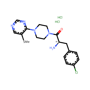 CSc1cncnc1N1CCN(C(=O)[C@H](N)Cc2ccc(Cl)cc2)CC1.Cl.Cl